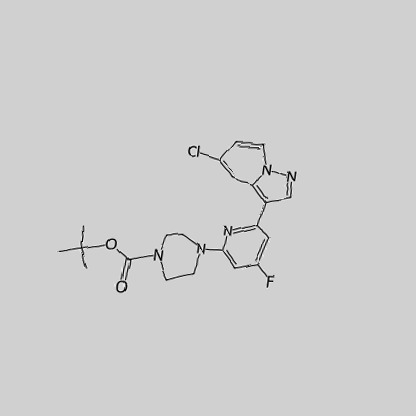 CC(C)(C)OC(=O)N1CCN(c2cc(F)cc(-c3cnn4ccc(Cl)cc34)n2)CC1